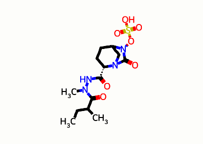 CCC(C)C(=O)N(C)NC(=O)[C@@H]1CCC2CN1C(=O)N2OS(=O)(=O)O